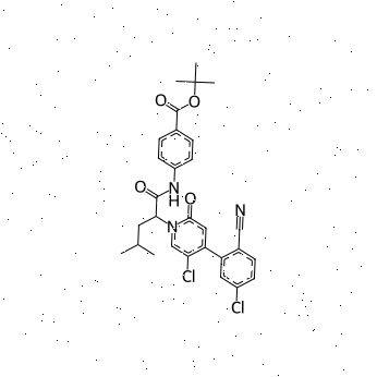 CC(C)CC(C(=O)Nc1ccc(C(=O)OC(C)(C)C)cc1)n1cc(Cl)c(-c2cc(Cl)ccc2C#N)cc1=O